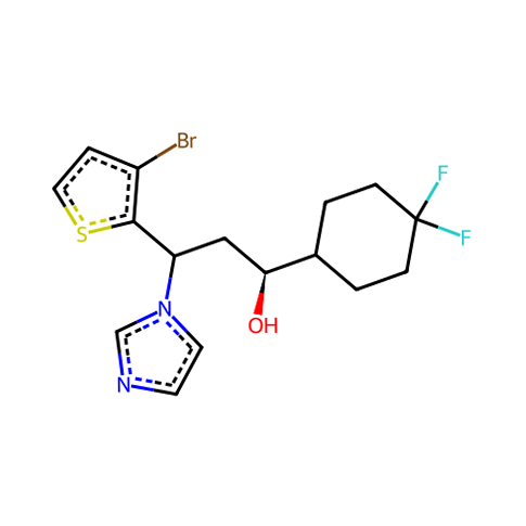 O[C@@H](CC(c1sccc1Br)n1ccnc1)C1CCC(F)(F)CC1